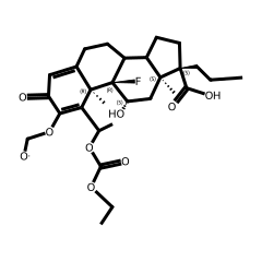 CCC[C@]1(C(=O)O)CCC2C3CCC4=CC(=O)C(OC[O])=C(C(C)OC(=O)OCC)[C@]4(C)[C@@]3(F)[C@@H](O)C[C@@]21C